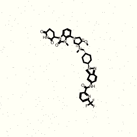 CO[C@@H]1CN(c2cccc3c2n(C)c(=O)n3C2CCC(=O)NC2=O)C[C@@H]1N(C)C[C@H]1CC[C@H](n2cc3cc(NC(=O)c4cccc(C(F)(F)F)n4)ccc3n2)CC1